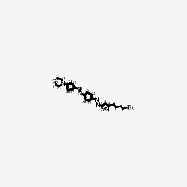 CCC(C)CCCCc1cc(/N=N/c2ccc(/N=N/c3ccc(N4CCOCC4)cc3)cc2)sn1